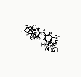 CC(=O)[C@H](Cc1ccc(C(F)(F)P(=O)(O)O)c(Br)c1)N=C1CC2CC(C1(C)O)C2(C)C